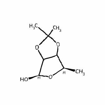 C[C@H]1O[C@@H](O)C2OC(C)(C)OC21